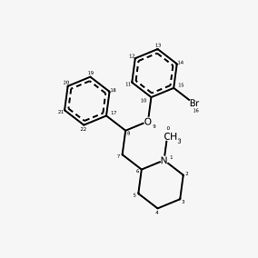 CN1CCCCC1CC(Oc1ccccc1Br)c1ccccc1